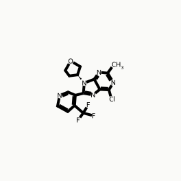 Cc1nc(Cl)c2nc(-c3cnccc3C(F)(F)F)n([C@@H]3CCOC3)c2n1